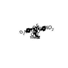 C[SiH](C)OC[C@H]([C@@H]1C(=O)N2C(C(=O)OCc3ccc([N+](=O)[O-])cc3)=C([C@@H]3CSCN3C(=O)OCc3ccc([N+](=O)[O-])cc3)C[C@H]12)C(C)(C)C